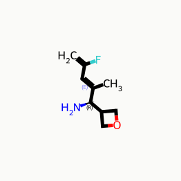 C=C(F)/C=C(\C)[C@H](N)C1COC1